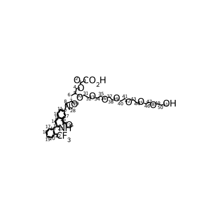 O=C(O)C(=O)OCC(C[C@H]1CN(c2ccc3cc(-c4ccccc4C(F)(F)F)[nH]c(=O)c3c2)CO1)OCCOCCOCCOCCOCCOCCOCCO